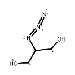 [N-]=[N+]=NC(CO)CO